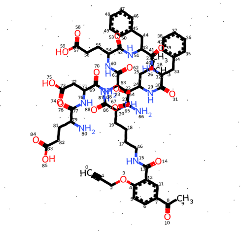 C#CCOc1ccc(C(C)=O)cc1C(=O)NCCCCC(NC(=O)C(CC(C)C)NC(=O)C(Cc1ccccc1)NC(=O)C(Cc1ccccc1)NC(=O)C(CCC(=O)O)NC(=O)C(CC(N)=O)NC(=O)C(CC(=O)O)NC(=O)C(N)CCC(=O)O)C(N)=O